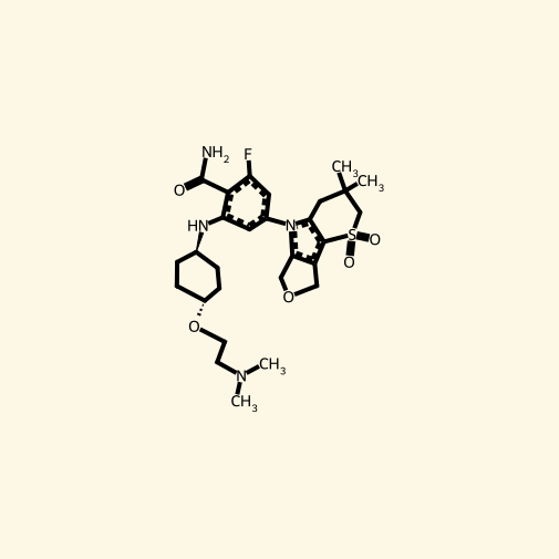 CN(C)CCO[C@H]1CC[C@H](Nc2cc(-n3c4c(c5c3CC(C)(C)CS5(=O)=O)COC4)cc(F)c2C(N)=O)CC1